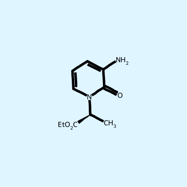 CCOC(=O)[C@H](C)n1cccc(N)c1=O